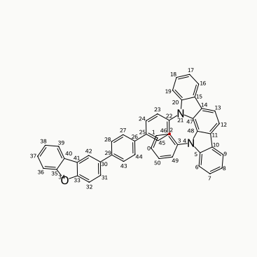 c1ccc(-n2c3ccccc3c3ccc4c5ccccc5n(-c5ccc(-c6ccc(-c7ccc8oc9ccccc9c8c7)cc6)cc5)c4c32)cc1